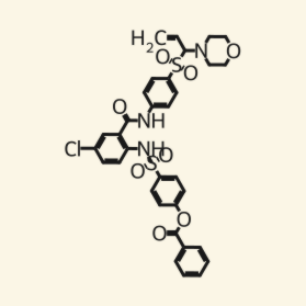 C=CC(N1CCOCC1)S(=O)(=O)c1ccc(NC(=O)c2cc(Cl)ccc2NS(=O)(=O)c2ccc(OC(=O)c3ccccc3)cc2)cc1